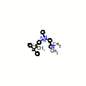 Cc1ccc(-c2cccc(-c3nc(-c4ccccc4)nc(-c4ccc([C@@H](C)[C@@H](C)C5C(c6ccccc6)=CC5c5ccccc5)cc4)n3)c2)c(C)n1